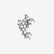 Cc1c(C(O)c2ccc(OC(C)C)cc2F)c(=O)[nH]n1C(C)C